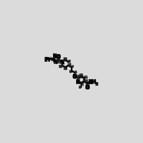 Cc1nc(OCCCC2CCN(c3nc(C(C)C)no3)CC2)ccc1C(N)=O